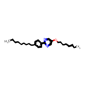 CCCCCCCCCc1ccc(-c2ncc(OCCCCCCCC)cn2)cc1